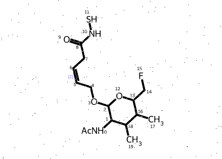 CC(=O)NC1C(OC/C=C\CC(=O)NS)OC(CF)C(C)C1C